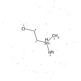 CC[CH2][SnH]([CH3])[CH2]CCl